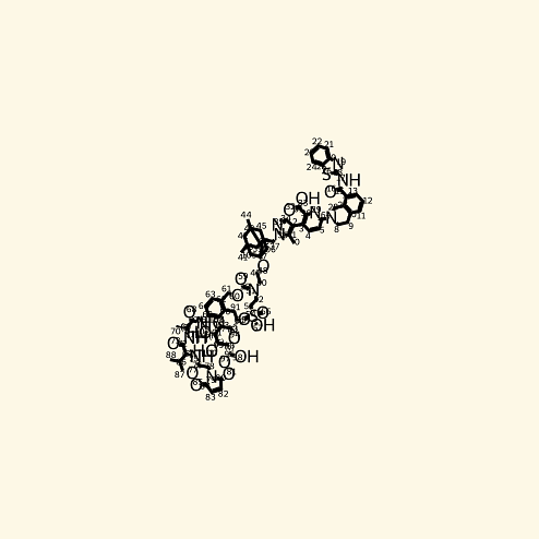 Cc1c(-c2ccc(N3CCc4cccc(C(=O)Nc5nc6ccccc6s5)c4C3)nc2C(=O)O)cnn1CC12CC3(C)CC(C)(C1)CC(OCCN(CCS(=O)(=O)O)C(=O)OCc1ccc(NC(=O)[C@H](C)NC(=O)[C@@H](NC(=O)CN4C(=O)C=CC4=O)C(C)C)cc1CC[C@@H]1O[C@H](C(=O)O)[C@@H](O)[C@H](O)[C@H]1O)(C3)C2